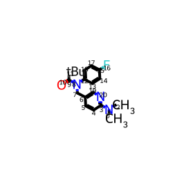 CN(C)c1ccc(CN(C(=O)C(C)(C)C)c2ccc(F)cc2)cn1